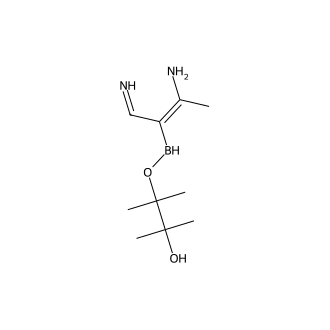 C/C(N)=C(\BOC(C)(C)C(C)(C)O)C=N